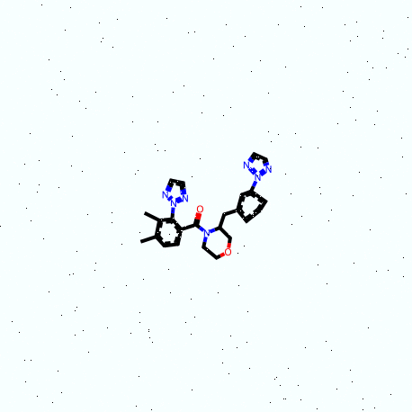 Cc1ccc(C(=O)N2CCOCC2Cc2cccc(-n3nccn3)c2)c(-n2nccn2)c1C